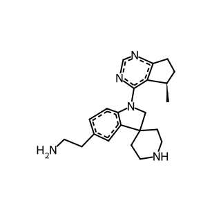 C[C@@H]1CCc2ncnc(N3CC4(CCNCC4)c4cc(CCN)ccc43)c21